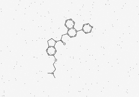 CN(C)CCOc1ccc2c(c1)N(C(=O)Cc1ccc(-c3ccncc3)c3ccccc13)CC2